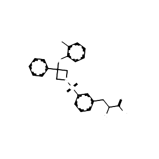 NC(Cc1cccc(S(=O)(=O)N2CC(Oc3ccccc3Cl)(c3ccccc3)C2)c1)C(=O)O